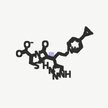 O=C([O-])C1=CS[C@@H]2/C(=C(/CC[n+]3ccc(C4CC4)cc3)c3c[nH]nn3)C(=O)N12